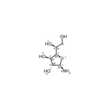 N[C@@H]1O[C@H]([C@@H](O)CO)[C@H](O)[C@H]1O